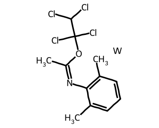 CC(=Nc1c(C)cccc1C)OC(Cl)(Cl)C(Cl)Cl.[W]